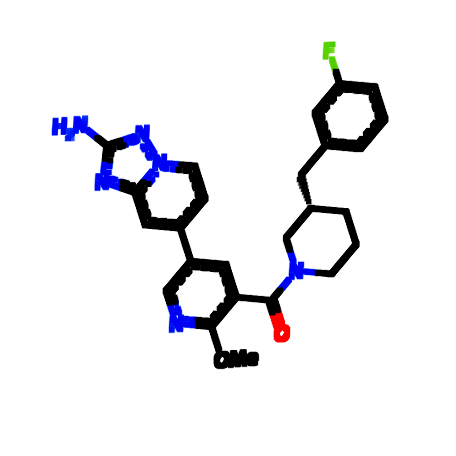 COc1ncc(-c2ccn3nc(N)nc3c2)cc1C(=O)N1CCC[C@@H](Cc2cccc(F)c2)C1